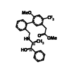 COC(=O)Cc1cc(-c2ccccc2CN[C@@H](C)[C@H](O)c2ccccc2)c(OC)cc1C(F)(F)F